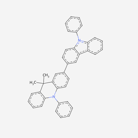 CC1(C)c2ccccc2N(c2ccccc2)c2ccc(-c3ccc4c(c3)c3ccccc3n4-c3ccccc3)cc21